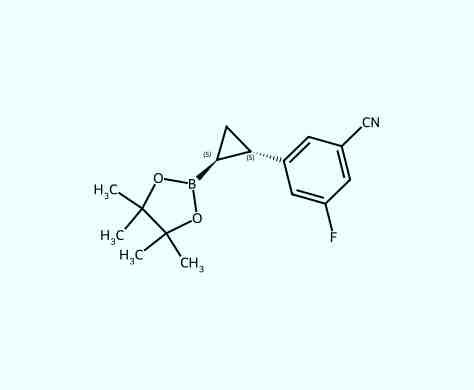 CC1(C)OB([C@H]2C[C@@H]2c2cc(F)cc(C#N)c2)OC1(C)C